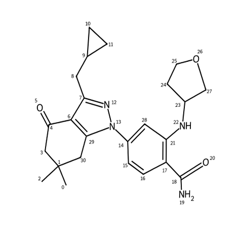 CC1(C)CC(=O)c2c(CC3CC3)nn(-c3ccc(C(N)=O)c(NC4CCOC4)c3)c2C1